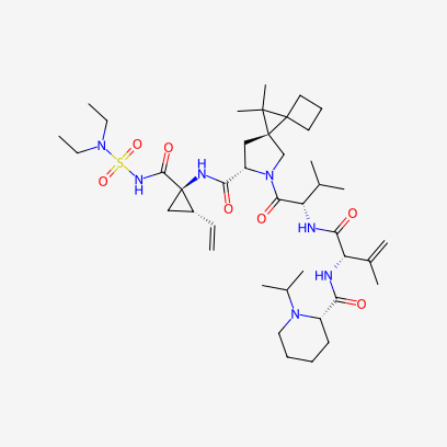 C=C[C@@H]1C[C@]1(NC(=O)[C@@H]1C[C@@]2(CN1C(=O)[C@@H](NC(=O)[C@@H](NC(=O)[C@@H]1CCCCN1C(C)C)C(=C)C)C(C)C)C(C)(C)C21CCC1)C(=O)NS(=O)(=O)N(CC)CC